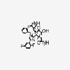 CNC(=O)CC(C)(C)C(c1nc(-c2cc(F)ccc2F)cn1Cc1ccccc1)N(C[C@@H]1CNC[C@@H]1F)C(=O)C(C)O